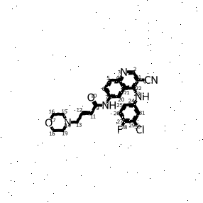 N#Cc1cnc2ccc(NC(=O)/C=C/CN3CCOCC3)cc2c1Nc1ccc(F)c(Cl)c1